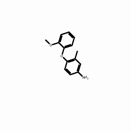 COc1ccccc1Oc1ccc(N)cc1C